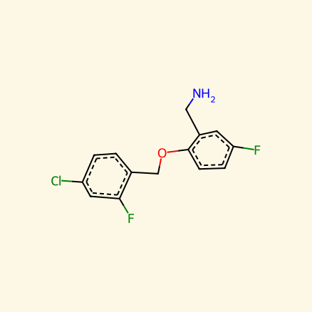 NCc1cc(F)ccc1OCc1ccc(Cl)cc1F